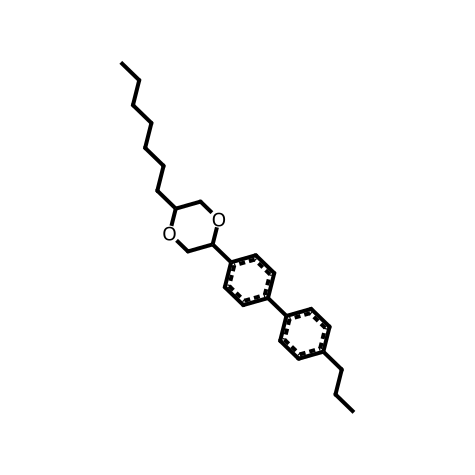 CCCCCCCC1COC(c2ccc(-c3ccc(CCC)cc3)cc2)CO1